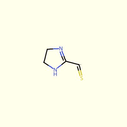 S=[C]C1=NCCN1